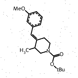 COc1cccc(/C=C2\CCN(C(=O)OC(C)(C)C)CC2C)c1